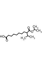 CC(C)OC(=O)C(CCCCCCCC(=O)O)C(C)C